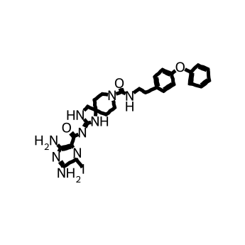 Nc1nc(N)c(C(=O)/N=C2\NCC3(CCN(C(=O)NCCc4ccc(Oc5ccccc5)cc4)CC3)N2)nc1I